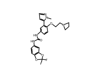 Cn1nccc1-c1cc(NC(=O)Nc2ccc3c(c2)OC(F)(F)O3)ccc1OCCN1CCC1